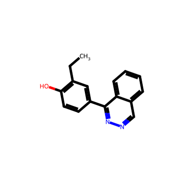 CCc1cc(-c2nncc3ccccc23)ccc1O